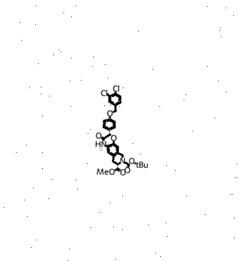 COC(=O)[C@@H]1Cc2cc3c(cc2CN1C(=O)OC(C)(C)C)O[C@@H](c1ccc(OCc2ccc(Cl)c(Cl)c2)cc1)C(=O)N3